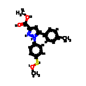 COSc1ccc(-n2nc(C(=O)OC)cc2-c2ccc(C)cc2)cc1